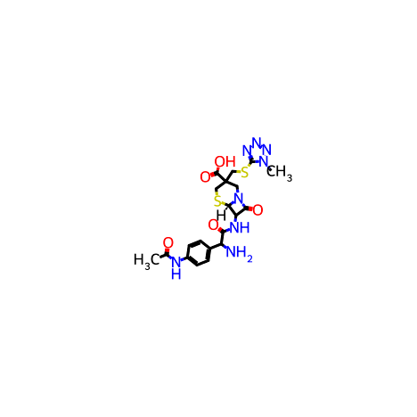 CC(=O)Nc1ccc(C(N)C(=O)NC2C(=O)N3CC(CSc4nnnn4C)(C(=O)O)CS[C@H]23)cc1